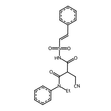 CCN(C(=O)C(CC#N)C(=O)NS(=O)(=O)C=Cc1ccccc1)c1ccccc1